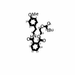 COc1ccc(CCNC(=O)c2ccccc2C(=O)OCCOC(=O)C(C)(C)C)cc1